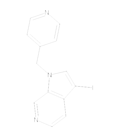 Ic1cn(Cc2ccncc2)c2cnccc12